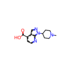 CN1CCC(n2ncc3c(C(=O)O)ccnc32)CC1